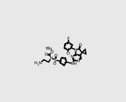 CC(C)(C)OC(=O)N(CCN)S(=O)(=O)c1ccc(Nc2ncc3c(n2)N(c2cc(F)ccc2Cl)C(=O)C32CC2)cc1